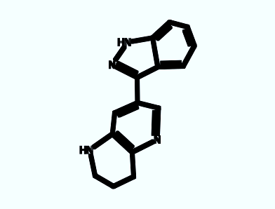 c1ccc2c(-c3cnc4c(c3)NCCC4)n[nH]c2c1